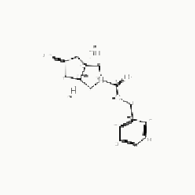 O=C1C[C@@H]2CN(C(=O)OCc3ccccc3)C[C@]2(O)C1